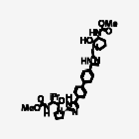 COC(=O)N[C@H]1CCCN(Cc2ncc(-c3ccc(-c4ccc(-c5cnc([C@@H]6CCCN6C(=O)[C@@H](NC(=O)OC)C(C)C)[nH]5)cc4)cc3)[nH]2)C1O